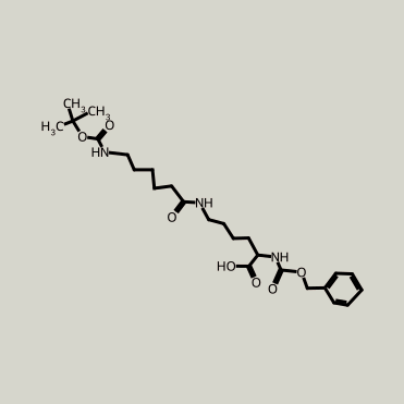 CC(C)(C)OC(=O)NCCCCCC(=O)NCCCCC(NC(=O)OCc1ccccc1)C(=O)O